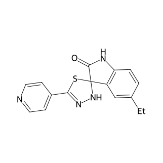 CCc1ccc2c(c1)C1(NN=C(c3ccncc3)S1)C(=O)N2